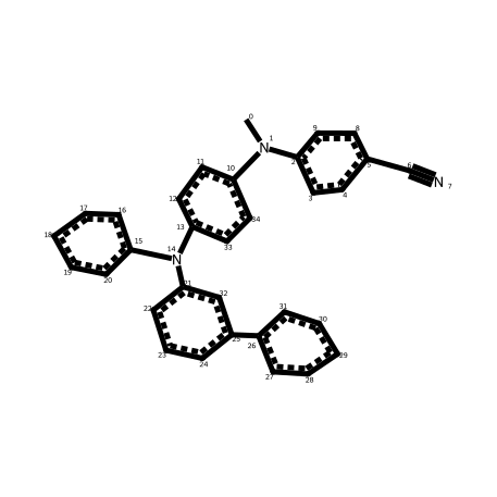 CN(c1ccc(C#N)cc1)c1ccc(N(c2ccccc2)c2cccc(-c3ccccc3)c2)cc1